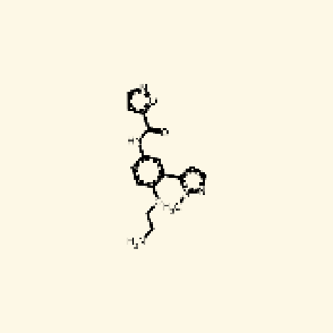 Cn1nccc1-c1cc(NC(=O)c2ccno2)ccc1OCCN